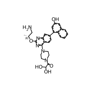 C[C@H](CN)Oc1nc(N2CCN(C(=O)C(O)O)CC2)c2ccc(-c3cc(O)cc4ccccc34)cc2n1